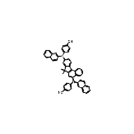 CC1(C)c2cc(N(c3ccc(C#N)cc3)c3ccc4ccccc4c3)ccc2-c2c1cc(N(c1ccc(C#N)cc1)c1ccc3ccccc3c1)c1ccccc21